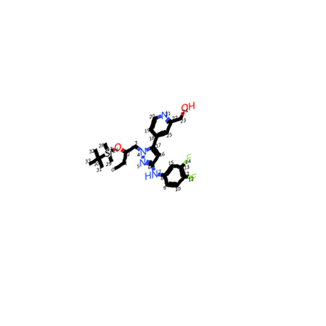 CCC(Cn1nc(Nc2ccc(F)c(F)c2)cc1-c1ccnc(CO)c1)O[Si](C)(C)C(C)(C)C